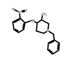 CC1CN(Cc2ccccc2)CCC1Nc1ccccc1[N+](=O)[O-]